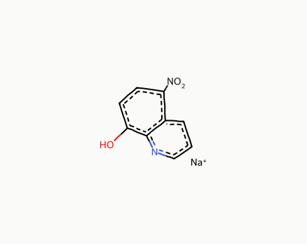 O=[N+]([O-])c1ccc(O)c2ncccc12.[Na+]